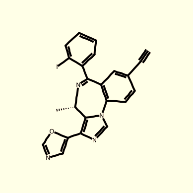 C#Cc1ccc2c(c1)C(c1ccccc1I)=N[C@@H](C)c1c(-c3cnco3)ncn1-2